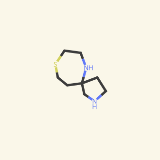 C1CC2(CCSCCN2)CN1